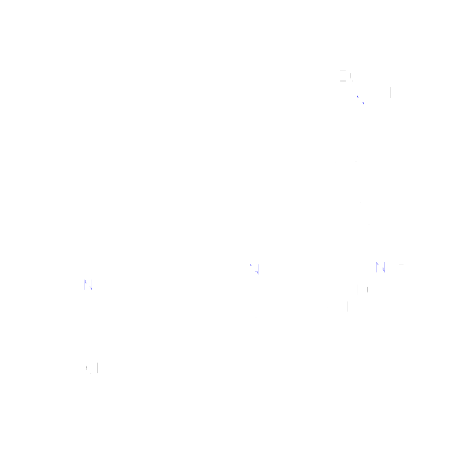 CCN(CC)c1ccc(C(Cc2ccc(N(c3ccc(-c4ccc(N(c5ccccc5)c5cccc(C)c5)cc4)cc3)c3cccc(C)c3)cc2)c2ccc(N(CC)CC)cc2)cc1